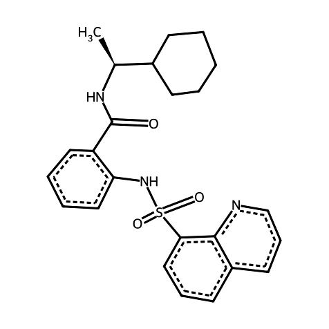 C[C@H](NC(=O)c1ccccc1NS(=O)(=O)c1cccc2cccnc12)C1CCCCC1